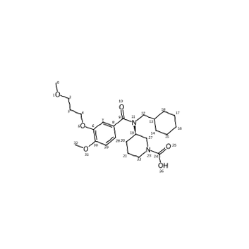 COCCCOc1cc(C(=O)N(CC2CCCCC2)[C@@H]2CCCN(C(=O)O)C2)ccc1OC